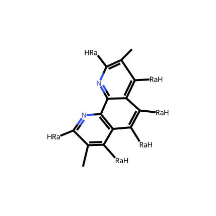 Cc1[c]([RaH])nc2c([c]1[RaH])[c]([RaH])[c]([RaH])c1[c]([RaH])c(C)[c]([RaH])nc12